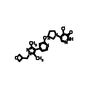 Cc1nn(CC2COC2)c(C)c1-c1ccnc(O[C@@H]2CCN(c3cn[nH]c(=O)c3Cl)C2)c1